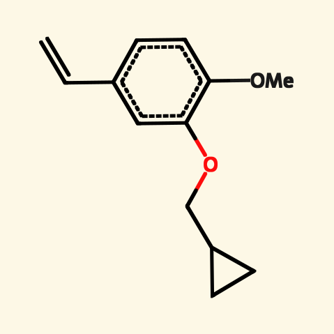 C=Cc1ccc(OC)c(OCC2CC2)c1